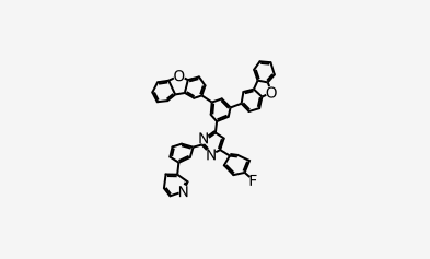 Fc1ccc(-c2cc(-c3cc(-c4ccc5oc6ccccc6c5c4)cc(-c4ccc5oc6ccccc6c5c4)c3)nc(-c3cccc(-c4cccnc4)c3)n2)cc1